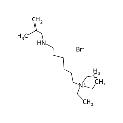 C=C(C)CNCCCCCC[N+](CC)(CC)CC.[Br-]